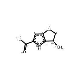 C[C@@H]1COc2cc(C(=O)O)[nH]c21